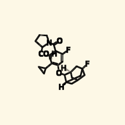 O=C(O)C1CCCN1C(=O)c1cc(C2CC2)c(OC2[C@@H]3CC4C[C@H]2CC(F)(C4)C3)cc1F